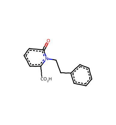 O=C(O)c1cccc(=O)n1CCc1ccccc1